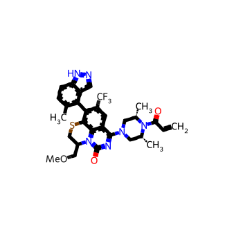 C=CC(=O)N1[C@H](C)CN(c2nc(=O)n3c4c(c(-c5c(C)ccc6[nH]ncc56)c(C(F)(F)F)cc24)SCC3COC)C[C@@H]1C